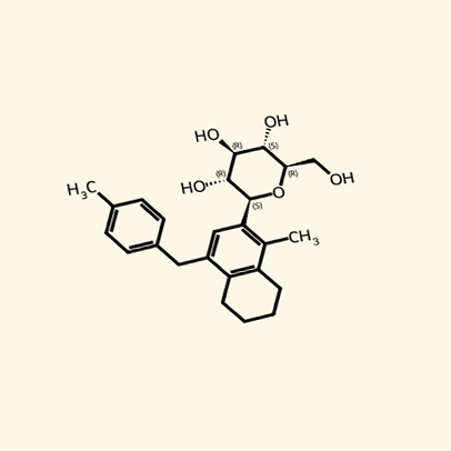 Cc1ccc(Cc2cc([C@@H]3O[C@H](CO)[C@@H](O)[C@H](O)[C@H]3O)c(C)c3c2CCCC3)cc1